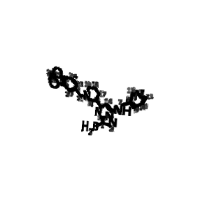 Bc1cnn2c(NCc3cccnc3)cc(C3CCCN(Cc4ccc5c(c4)OCO5)C3)nc12